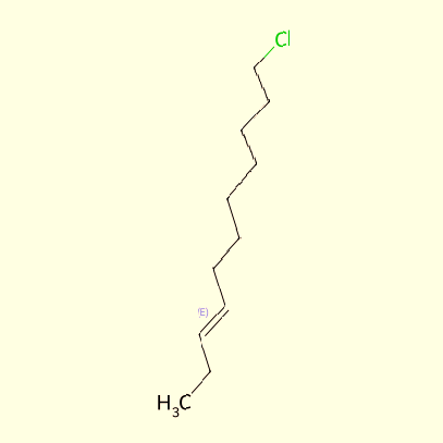 CC/C=C/CCCCCCCCl